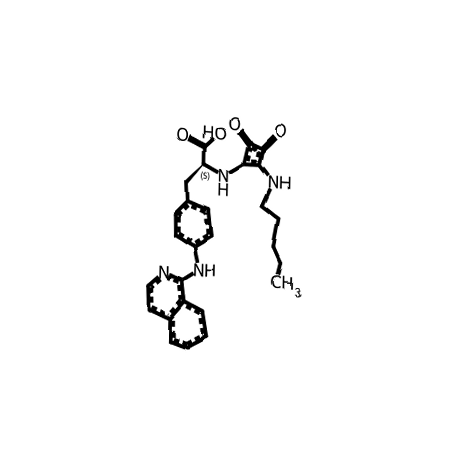 CCCCCNc1c(N[C@@H](Cc2ccc(Nc3nccc4ccccc34)cc2)C(=O)O)c(=O)c1=O